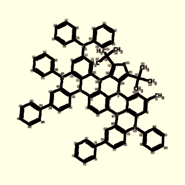 Cc1cc2c3c(c1)N1c4c(ccc5c4N(c4cc(N(c6ccccc6)c6ccccc6)cc6c4B5c4ccc(-c5ccccc5)cc4N6c4ccccc4)c4c(C(C)(C)C)sc(C(C)(C)C)c41)B3c1cc(-c3ccccc3)ccc1N2c1ccccc1